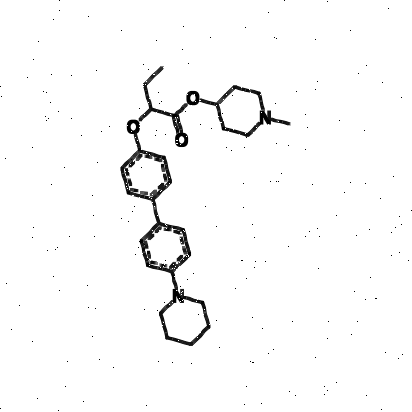 CCC(Oc1ccc(-c2ccc(N3CCCCC3)cc2)cc1)C(=O)OC1CCN(C)CC1